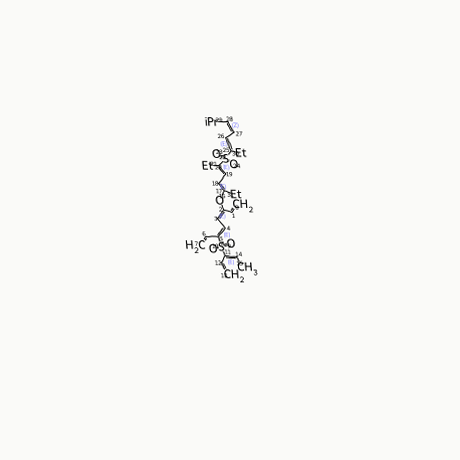 C=C/C(=C\C=C(/C=C)S(=O)(=O)/C(C=C)=C/C)O/C(=C/C=C(\CC)S(=O)(=O)/C(=C/C=C\C(C)C)CC)CC